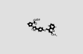 COC(=O)[C@@H]1CCC[C@@H]1C1CC(c2ccc(OCc3cc(C)nc4ccccc34)cc2)=NO1